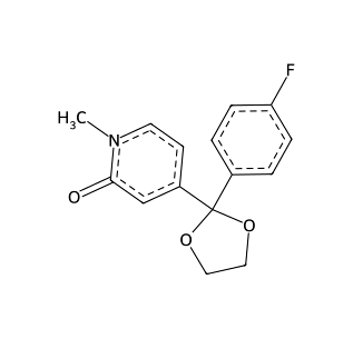 Cn1ccc(C2(c3ccc(F)cc3)OCCO2)cc1=O